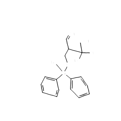 C=CC(CO[Si](c1ccccc1)(c1ccccc1)C(C)(C)C)C(C)(C)C(=O)O